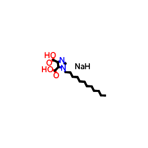 CCCCCCCCCCCCN1C=NC(C(=O)O)C1C(=O)O.[NaH]